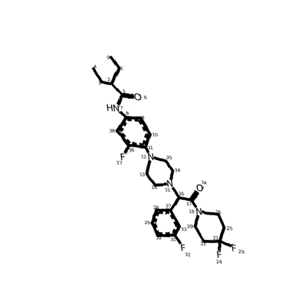 CCC(CC)C(=O)Nc1ccc(N2CCN(C(C(=O)N3CCC(F)(F)CC3)c3cccc(F)c3)CC2)c(F)c1